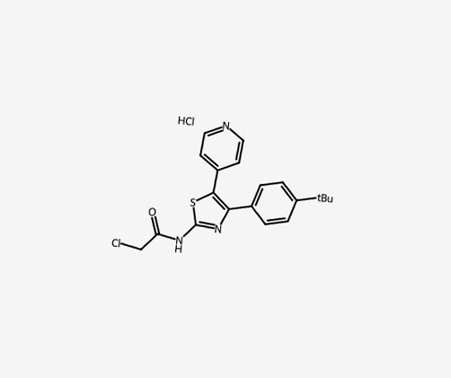 CC(C)(C)c1ccc(-c2nc(NC(=O)CCl)sc2-c2ccncc2)cc1.Cl